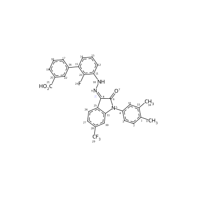 Cc1ccc(N2C(=O)/C(=N\Nc3cccc(-c4cccc(C(=O)O)c4)c3F)c3ccc(C(F)(F)F)cc32)cc1C